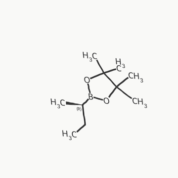 CC[C@@H](C)B1OC(C)(C)C(C)(C)O1